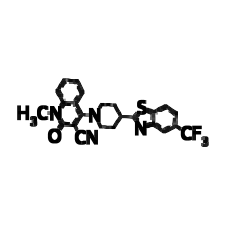 Cn1c(=O)c(C#N)c(N2CCC(c3nc4cc(C(F)(F)F)ccc4s3)CC2)c2ccccc21